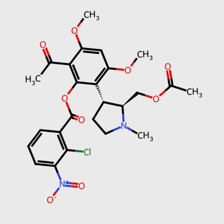 COc1cc(OC)c([C@H]2CCN(C)[C@@H]2COC(C)=O)c(OC(=O)c2cccc([N+](=O)[O-])c2Cl)c1C(C)=O